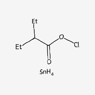 CCC(CC)C(=O)OCl.[SnH4]